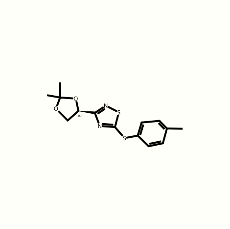 Cc1ccc(Sc2nc([C@H]3COC(C)(C)O3)ns2)cc1